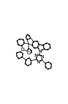 c1ccc(-c2cccc(-c3nc(-c4ccccc4)nc(-n4c5ccccc5c5cc6c(cc54)C4(c5ccccc5Oc5ccccc54)c4ccccc4-6)n3)c2)cc1